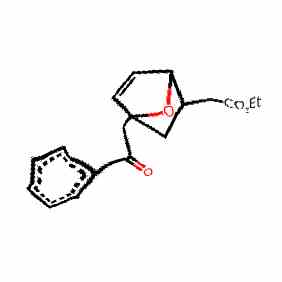 CCOC(=O)C1CC2(C(=O)c3ccccc3)C=CC1O2